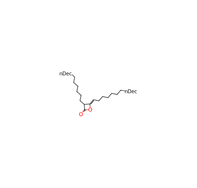 CCCCCCCCCCCCCCCC/C=C1\OC(=O)C1CCCCCCCCCCCCCCCC